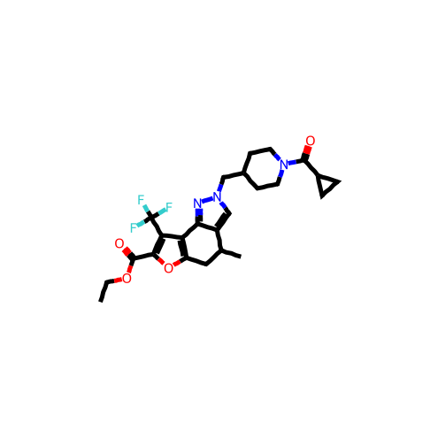 CCOC(=O)c1oc2c(c1C(F)(F)F)-c1nn(CC3CCN(C(=O)C4CC4)CC3)cc1C(C)C2